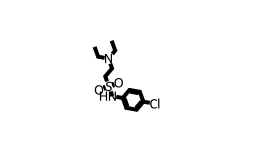 CCN(CC)CCS(=O)(=O)Nc1ccc(Cl)cc1